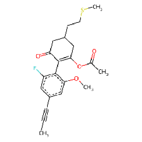 CC#Cc1cc(F)c(C2=C(OC(C)=O)CC(CCSC)CC2=O)c(OC)c1